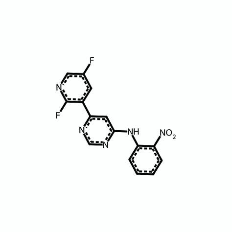 O=[N+]([O-])c1ccccc1Nc1cc(-c2cc(F)cnc2F)ncn1